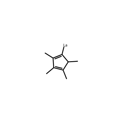 CC1=C(C)C(C)[C]([La])=C1C